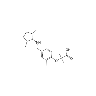 Cc1cc(CNC2C(C)CCC2C)ccc1OC(C)(C)C(=O)O